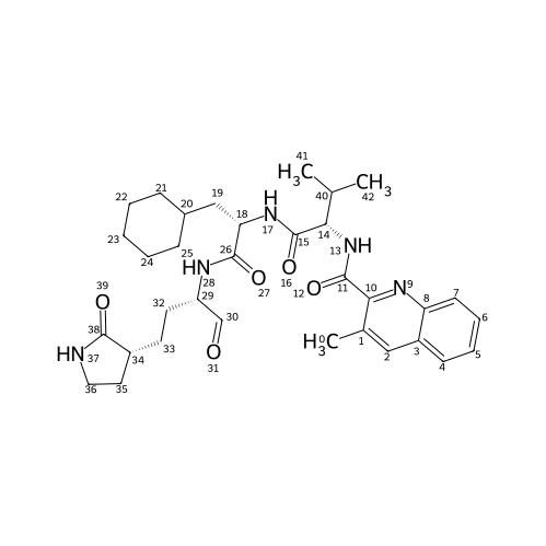 Cc1cc2ccccc2nc1C(=O)N[C@H](C(=O)N[C@@H](CC1CCCCC1)C(=O)N[C@H](C=O)CC[C@@H]1CCNC1=O)C(C)C